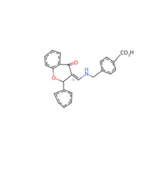 O=C(O)c1ccc(CN/C=C2\C(=O)c3ccccc3OC2c2ccccc2)cc1